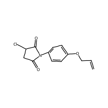 C=CCOc1ccc(N2C(=O)CC(Cl)C2=O)cc1